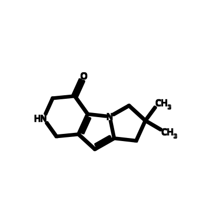 CC1(C)Cc2cc3c(n2C1)C(=O)CNC3